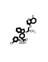 C[C@@H](COc1ccnc2c1CCC[C@H]2F)C[C@H]1Cc2ccccc2C12CCC(Nc1cccc(Cl)c1)(C(=O)O)CC2